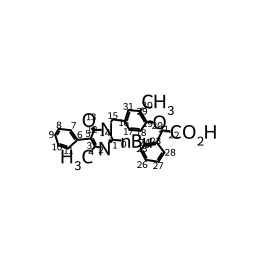 CCCCc1nc(C)c(-c2ccccc2)c(=O)n1Cc1ccc(OC(C(=O)O)c2ccccc2)c(C)c1